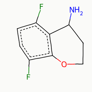 NC1CCOc2c(F)ccc(F)c21